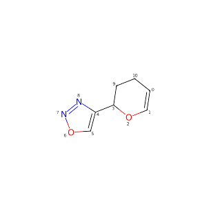 C1=COC(c2conn2)CC1